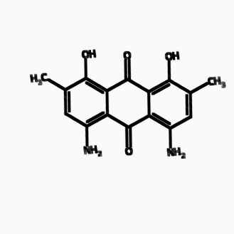 Cc1cc(N)c2c(c1O)C(=O)c1c(O)c(C)cc(N)c1C2=O